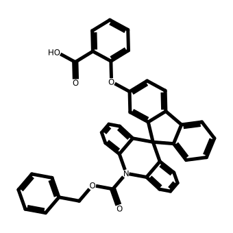 O=C(O)c1ccccc1Oc1ccc2c(c1)C1(c3ccccc3-2)c2ccccc2N(C(=O)OCc2ccccc2)c2ccccc21